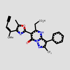 C#C/C=C(/OC)c1nc(-c2c(CC(=O)O)[nH]c3c(-c4ccccc4)c(C(F)(F)F)nn3c2=O)oc1C